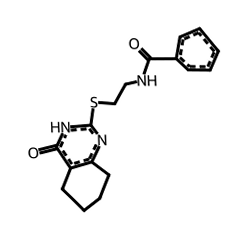 O=C(NCCSc1nc2c(c(=O)[nH]1)CCCC2)c1ccccc1